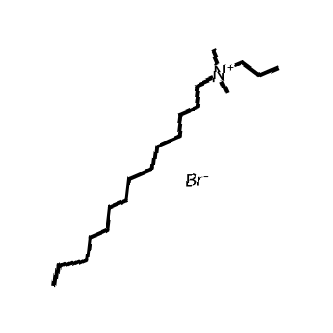 CCCCCCCCCCCCCC[N+](C)(C)CCC.[Br-]